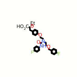 CCOC(Cc1ccc(OCCN(CCOCc2ccc(F)cc2)C(=O)Nc2ccc(F)cc2)cc1)C(=O)O